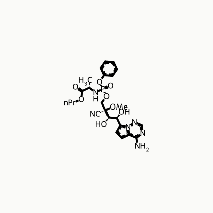 CCCOC(=O)[C@H](C)NP(=O)(OC[C@@](C#N)(OC)[C@@H](O)[C@@H](O)c1ccc2c(N)ncnn12)Oc1ccccc1